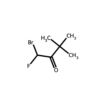 CC(C)(C)C(=O)C(F)Br